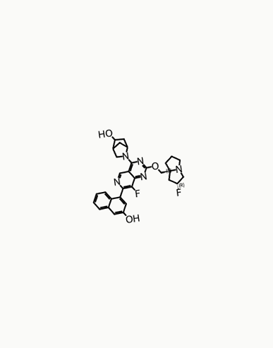 Oc1cc(-c2ncc3c(N4CC5CC4CC5O)nc(OC[C@@]45CCCN4C[C@H](F)C5)nc3c2F)c2ccccc2c1